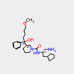 COCCCC[C@@](O)(c1ccccc1)[C@@H]1CCCN(C(=O)N[C@H](CN)CC2CCCC2)C1